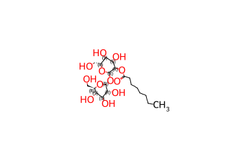 CCCCCCCC(=O)O[C@H]1[C@@H](O[C@H]2O[C@H](CO)[C@@H](O)[C@H](O)[C@H]2O)O[C@H](CO)[C@@H](O)[C@@H]1O